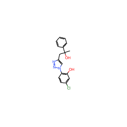 CC(O)(Cc1cn(-c2ccc(Cl)cc2O)nn1)c1ccccc1